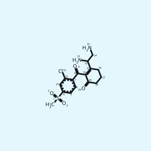 CS(=O)(=O)c1ccc(C(=O)C2=C(C(N)CN)CCCC2=O)c(Cl)c1